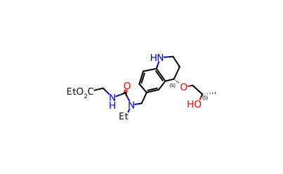 CCOC(=O)CNC(=O)N(CC)Cc1ccc2c(c1)[C@@H](OC[C@H](C)O)CCN2